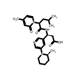 Cc1ccn(C(CC(C)C)C(=O)N[C@@H](CC(=O)O)c2cncc(N3CCCC[C@@H]3C)c2)c(=O)c1